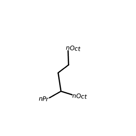 CCCCCCCCCCC(CCC)CCCCCCCC